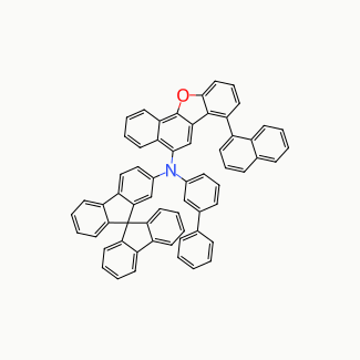 c1ccc(-c2cccc(N(c3ccc4c(c3)C3(c5ccccc5-c5ccccc53)c3ccccc3-4)c3cc4c(oc5cccc(-c6cccc7ccccc67)c54)c4ccccc34)c2)cc1